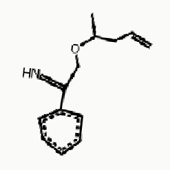 C=CCC(C)OCC(=N)c1ccccc1